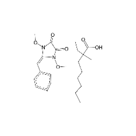 CCCCCCC(C)(CC)C(=O)O.CON1C(=O)C(=O)N(OC)C1=Cc1ccccc1